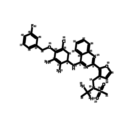 [2H]C1=C([2H])C(Nc2nc(-c3occc3CN(C([2H])([2H])C)S(C)(=O)=O)nc3ccccc23)CC(Cl)=C1OCc1cccc(F)c1